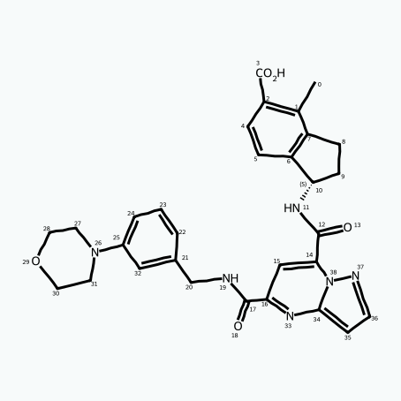 Cc1c(C(=O)O)ccc2c1CC[C@@H]2NC(=O)c1cc(C(=O)NCc2cccc(N3CCOCC3)c2)nc2ccnn12